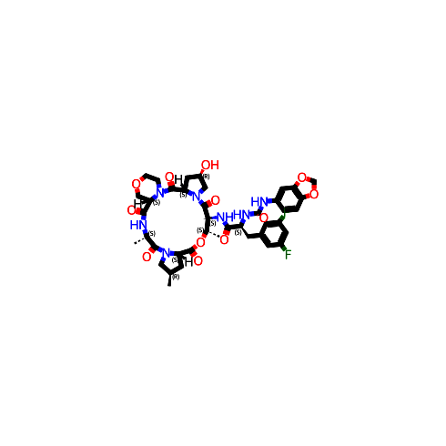 C[C@@H]1C[C@H]2C(=O)O[C@@H](C)[C@H](NC(=O)[C@H](Cc3cc(F)cc(F)c3)NC(=O)Nc3ccc4c(c3)OCO4)C(=O)N3C[C@H](O)C[C@H]3C(=O)N3CCOC[C@H]3C(=O)N[C@@H](C)C(=O)N2C1